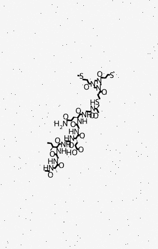 CC[C@H](C)[C@H](NC(=O)CNC(=O)[C@H](C)NC(C)=O)C(=O)NCC(=O)N[C@@H](CCC(=O)O)C(=O)NCC(=O)N[C@@H](CCC(N)=O)C(=O)NCC(=O)N[C@H](C=O)CSCCC(=O)N1CN(C(=O)CCSC)CN(C(=O)CCSC)C1